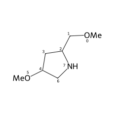 COCC1CC(OC)CN1